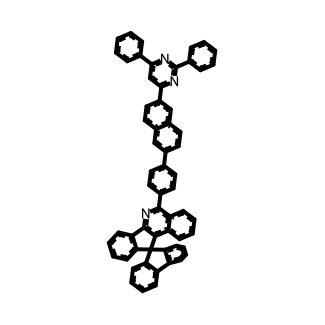 c1ccc(-c2cc(-c3ccc4cc(-c5ccc(-c6nc7c(c8ccccc68)C6(c8ccccc8-c8ccccc86)c6ccccc6-7)cc5)ccc4c3)nc(-c3ccccc3)n2)cc1